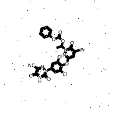 CC(C)c1cc(Oc2c(Cl)cc(-n3nc(C#N)c(=O)[nH]c3=O)cc2Cl)nn(C(C)OC(=O)Oc2ccccc2)c1=O